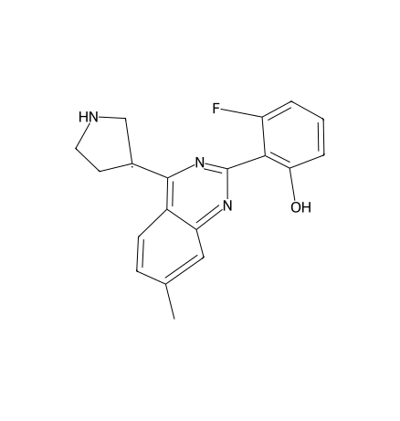 Cc1ccc2c([C]3CCNC3)nc(-c3c(O)cccc3F)nc2c1